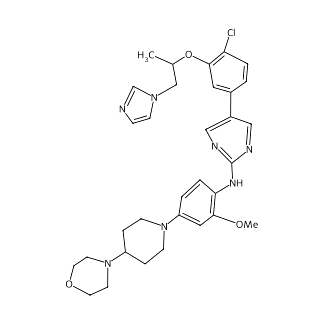 COc1cc(N2CCC(N3CCOCC3)CC2)ccc1Nc1ncc(-c2ccc(Cl)c(OC(C)Cn3ccnc3)c2)cn1